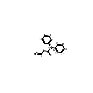 CC(CC=O)N(c1ccccc1)c1ccccc1